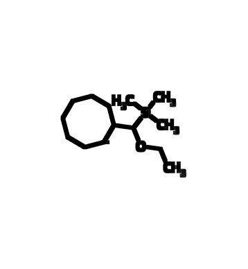 CCOC(C1[CH]CCCCCC1)[Si](C)(C)C